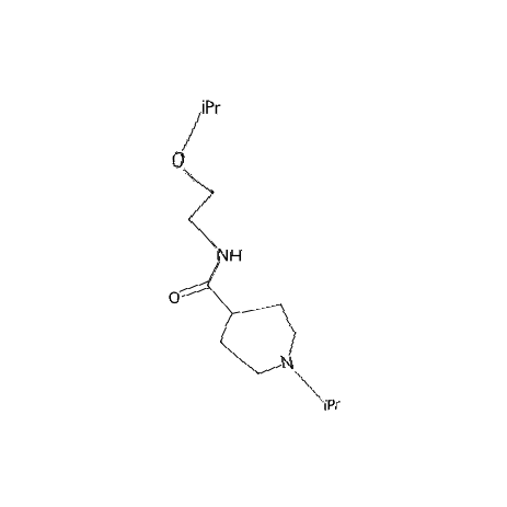 CC(C)OCCNC(=O)C1CCN(C(C)C)CC1